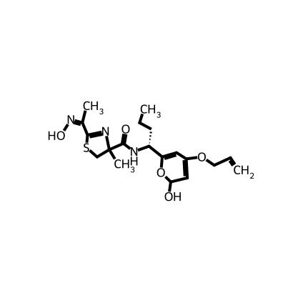 C=CCOC1=CC(O)OC([C@@H](CCC)NC(=O)C2(C)CSC(/C(C)=N\O)=N2)=C1